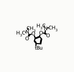 CN(C)C(=O)Oc1ccc(C(C)(C)C)cc1OC(=O)N(C)C